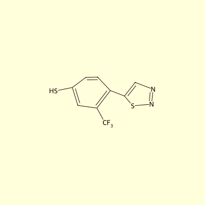 FC(F)(F)c1cc(S)ccc1-c1cnns1